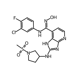 CS(=O)(=O)N1CCC(Nc2nc3nccc(/C(=N\O)Nc4ccc(F)c(Cl)c4)c3[nH]2)C1